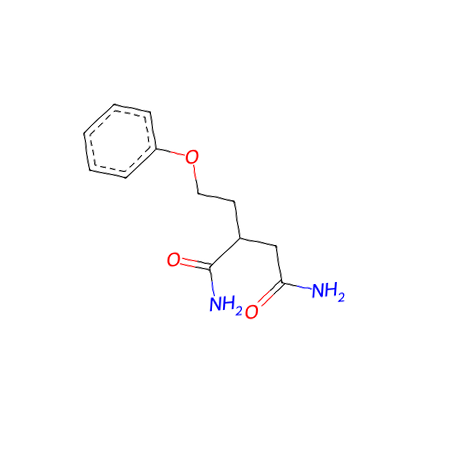 NC(=O)CC(CCOc1ccccc1)C(N)=O